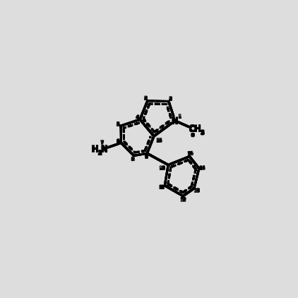 Cn1ccc2cc(N)cc(-c3ccccc3)c21